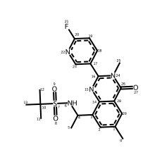 Cc1cc(C(C)NS(=O)(=O)C(C)(C)C)c2nc(-c3ccc(F)nc3)n(C)c(=O)c2c1